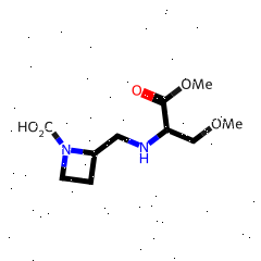 COCC(NCC1CCN1C(=O)O)C(=O)OC